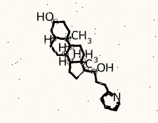 C[C@]12CC[C@H](O)C[C@@H]1CC[C@@H]1[C@@H]2CC[C@]2(C)[C@@H]([C@H](O)CCc3ccccn3)CC[C@@H]12